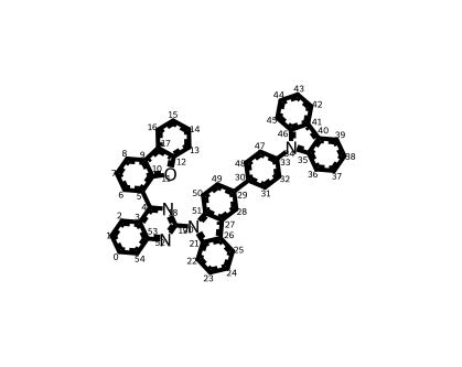 c1ccc2c(-c3cccc4c3oc3ccccc34)nc(-n3c4ccccc4c4cc(-c5ccc(-n6c7ccccc7c7ccccc76)cc5)ccc43)nc2c1